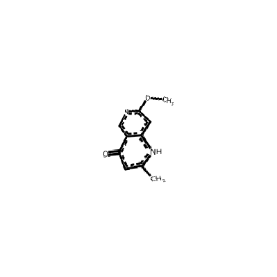 COc1cc2[nH]c(C)cc(=O)c2cn1